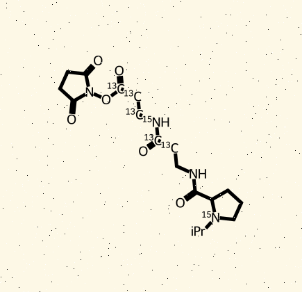 [13CH3]C([13CH3])[15N]1CCCC1C(=O)NC[13CH2][13C](=O)[15NH][13CH2][13CH2][13C](=O)ON1C(=O)CCC1=O